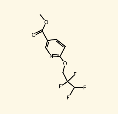 COC(=O)c1ccc(OCC(F)(F)C(F)F)nc1